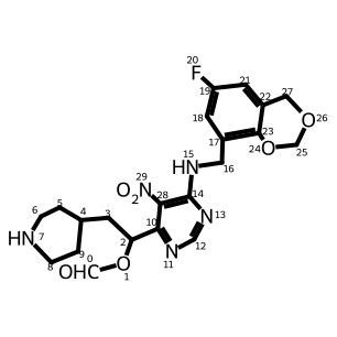 O=COC(CC1CCNCC1)c1ncnc(NCc2cc(F)cc3c2OCOC3)c1[N+](=O)[O-]